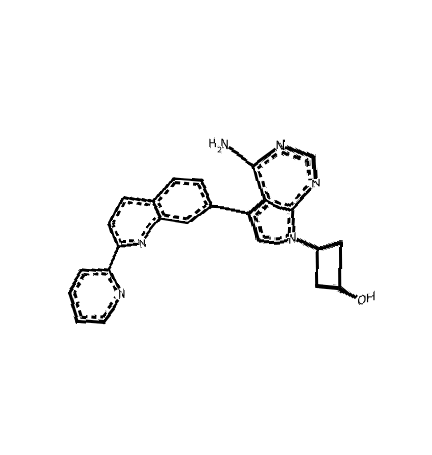 Nc1ncnc2c1c(-c1ccc3ccc(-c4ccccn4)nc3c1)cn2C1CC(O)C1